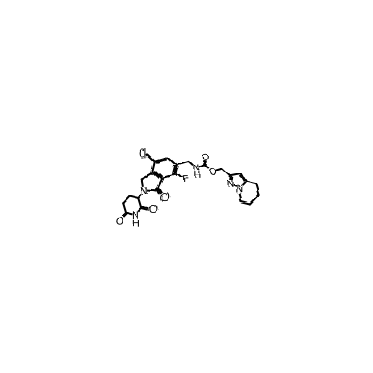 O=C1CCC(N2Cc3c(Cl)cc(CNC(=O)OCc4cc5n(n4)CCCC5)c(F)c3C2=O)C(=O)N1